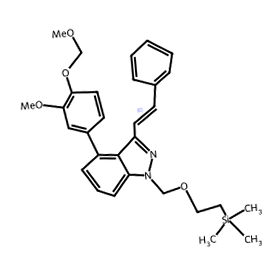 COCOc1ccc(-c2cccc3c2c(/C=C/c2ccccc2)nn3COCC[Si](C)(C)C)cc1OC